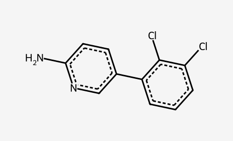 Nc1ccc(-c2cccc(Cl)c2Cl)cn1